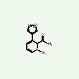 CN1C=CC=C(c2cn[nH]c2)C1C(N)=O